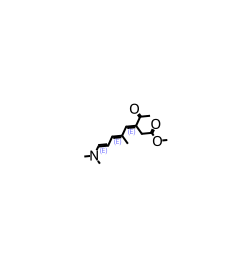 COC(=O)C\C(=C/C(C)=C/C=C/N(C)C)C(C)=O